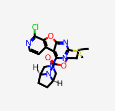 CCCCOC(=O)N1[C@@H]2CC[C@H]1CN(c1nc(SC)nc3oc4c(Cl)nccc4c13)C2